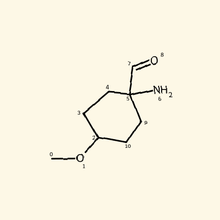 COC1CCC(N)(C=O)CC1